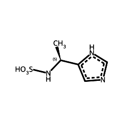 C[C@H](NS(=O)(=O)O)c1cnc[nH]1